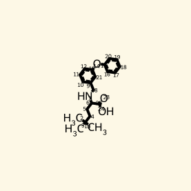 CC(C)(C)CCC(NCc1cccc(Oc2ccccc2)c1)C(=O)O